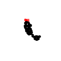 Cc1cccc(CC[C@H]2CC[C@H]3C4=CC=C5C[C@@H](O)CC(C)[C@]5(C)[C@H]4CC[C@]23C)c1